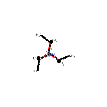 CCCCCCCCCCCCc1cc(C)ccc1OCCCOC(=O)CCNc1nc(NCCC(=O)OCCCOc2ccc(C)cc2CCCCCCCCCCCC)nc(NCCC(=O)OCCCOc2ccc(C)cc2CCCCCCCCCCCC)n1